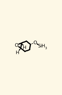 [SiH3]O[C@@H]1CC[C@@H]2O[C@@H]2C1